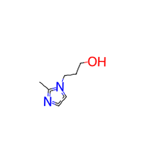 Cc1nccn1CCCO